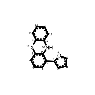 c1coc(-c2cccc3c2Nc2ccccc2S3)c1